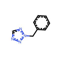 [c]1nnn(Cc2ccccc2)n1